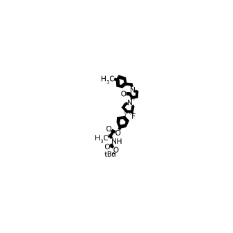 Cc1ccc(CN2CC[C@@H](N3CC[C@@H](c4ccc(OC(=O)[C@H](C)NC(=O)OC(C)(C)C)cc4)[C@H](F)C3)C2=O)cc1